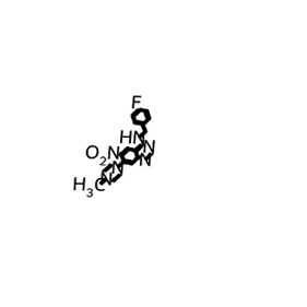 CN1CCN(c2cc3ncnc(NCc4ccc(F)cc4)c3cc2[N+](=O)[O-])CC1